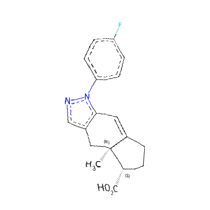 C[C@]12Cc3cnn(-c4ccc(F)cc4)c3C=C1CC[C@@H]2C(=O)O